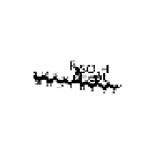 CCCCCCCC(F)S(=O)(=O)O.CCCCCCCCCCCCCCCCC